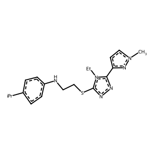 CCn1c(SCCNc2ccc(C(C)C)cc2)nnc1-c1ccn(C)n1